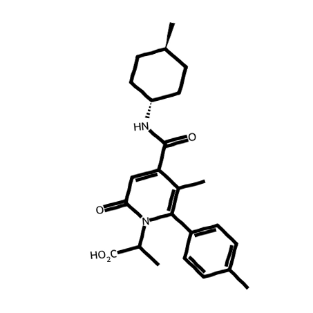 Cc1ccc(-c2c(C)c(C(=O)N[C@H]3CC[C@H](C)CC3)cc(=O)n2C(C)C(=O)O)cc1